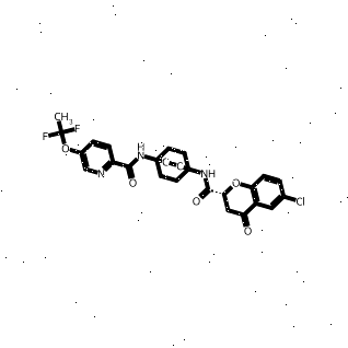 CC(F)(F)Oc1ccc(C(=O)NC23CCC(NC(=O)[C@H]4CC(=O)c5cc(Cl)ccc5O4)(CC2)CC3)nc1